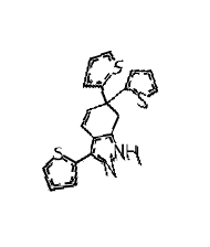 C1=CC(c2cccs2)(c2cccs2)Cc2[nH]nc(-c3cccs3)c21